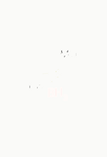 B.S.[Co].[Mo]